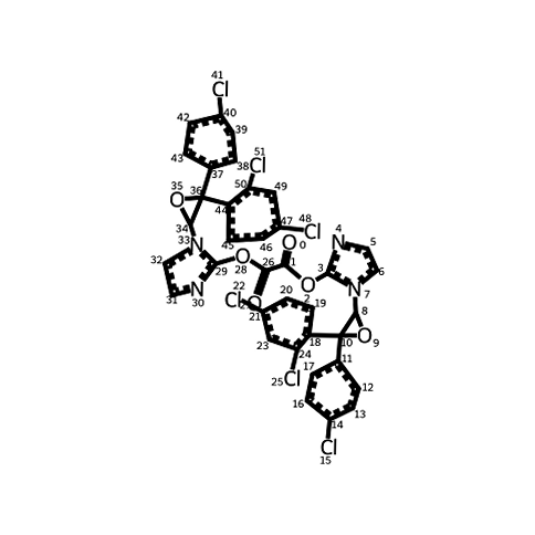 O=C(Oc1nccn1C1OC1(c1ccc(Cl)cc1)c1ccc(Cl)cc1Cl)C(=O)Oc1nccn1C1OC1(c1ccc(Cl)cc1)c1ccc(Cl)cc1Cl